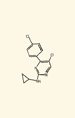 Clc1ccc(-c2nc(NC3CC3)ncc2Cl)cc1